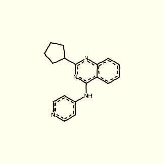 c1ccc2c(Nc3ccncc3)nc(C3CCCC3)nc2c1